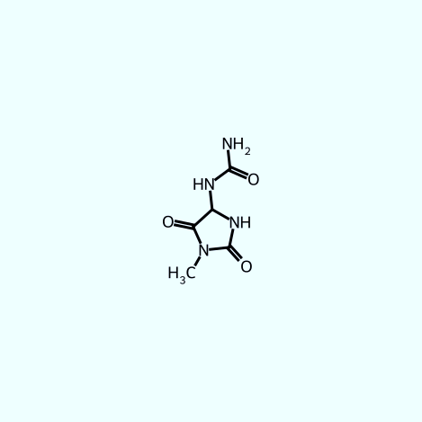 CN1C(=O)NC(NC(N)=O)C1=O